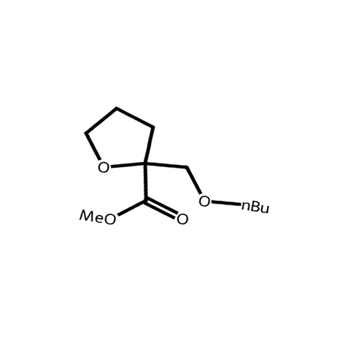 CCCCOCC1(C(=O)OC)CCCO1